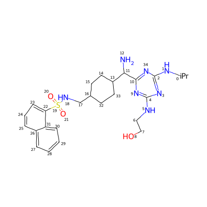 CC(C)Nc1nc(NCCO)nc(C(N)C2CCC(CNS(=O)(=O)c3cccc4ccccc34)CC2)n1